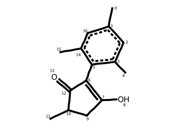 Cc1cc(C)c(C2=C(O)CC(C)C2=O)c(C)c1